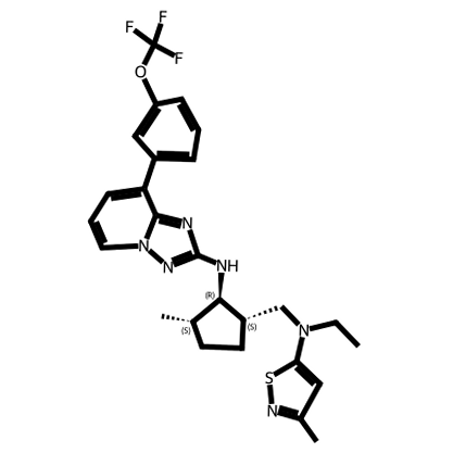 CCN(C[C@@H]1CC[C@H](C)[C@H]1Nc1nc2c(-c3cccc(OC(F)(F)F)c3)cccn2n1)c1cc(C)ns1